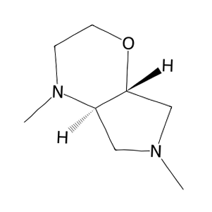 CN1C[C@@H]2[C@@H](C1)OCCN2C